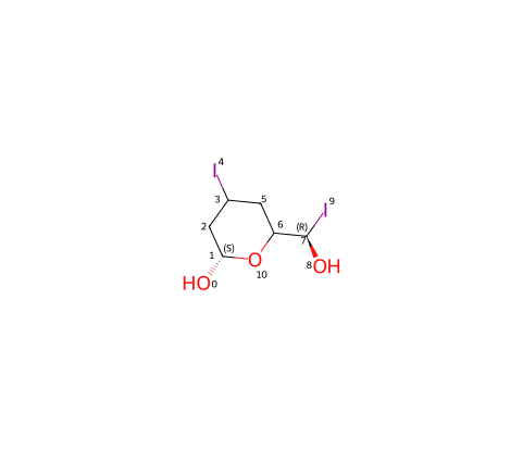 O[C@@H]1CC(I)CC([C@H](O)I)O1